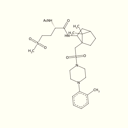 CC(=O)N[C@@H](CCS(C)(=O)=O)C(=O)NC1CC2CCC1(CS(=O)(=O)N1CCN(c3ccccc3C)CC1)C2(C)C